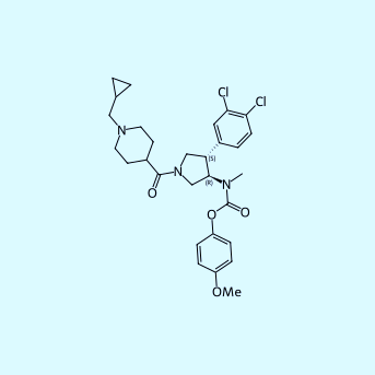 COc1ccc(OC(=O)N(C)[C@H]2CN(C(=O)C3CCN(CC4CC4)CC3)C[C@@H]2c2ccc(Cl)c(Cl)c2)cc1